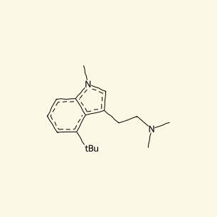 CN(C)CCc1cn(C)c2cccc(C(C)(C)C)c12